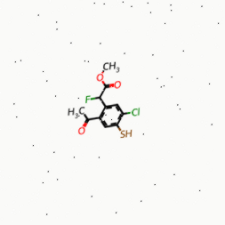 COC(=O)C(F)c1cc(Cl)c(S)cc1C(C)=O